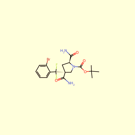 CC(C)(C)OC(=O)N1C[C@](C(N)=O)(C(F)(F)c2ccccc2Br)C[C@H]1C(N)=O